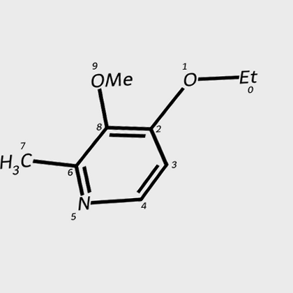 CCOc1ccnc(C)c1OC